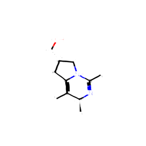 CC1=N[C@@H](C)C(C)=C2C[C@H](CO)CN12